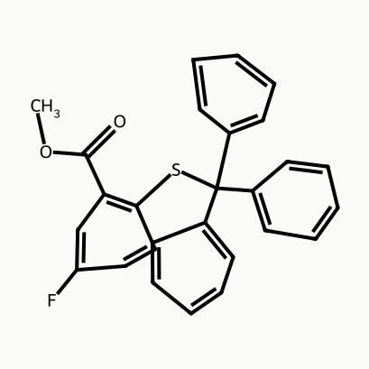 COC(=O)c1cc(F)ccc1SC(c1ccccc1)(c1ccccc1)c1ccccc1